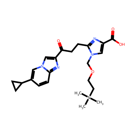 C[Si](C)(C)CCOCn1cc(C(=O)O)nc1CCC(=O)c1cn2cc(C3CC3)ccc2n1